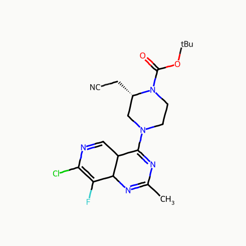 CC1=NC2C(F)=C(Cl)N=CC2C(N2CCN(C(=O)OC(C)(C)C)[C@@H](CC#N)C2)=N1